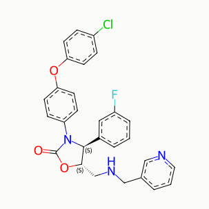 O=C1O[C@@H](CNCc2cccnc2)[C@H](c2cccc(F)c2)N1c1ccc(Oc2ccc(Cl)cc2)cc1